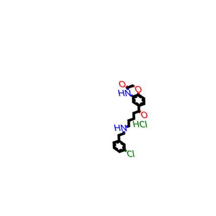 Cl.O=C1COc2ccc(C(=O)CCCCNCCc3cccc(Cl)c3)cc2N1